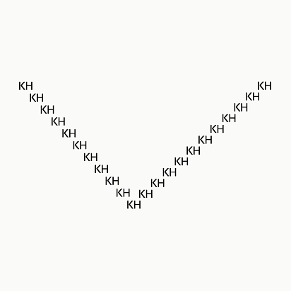 [KH].[KH].[KH].[KH].[KH].[KH].[KH].[KH].[KH].[KH].[KH].[KH].[KH].[KH].[KH].[KH].[KH].[KH].[KH].[KH].[KH].[KH]